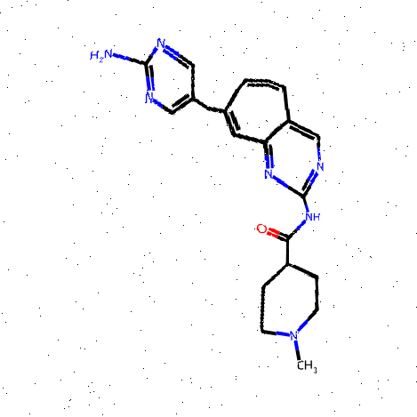 CN1CCC(C(=O)Nc2ncc3ccc(-c4cnc(N)nc4)cc3n2)CC1